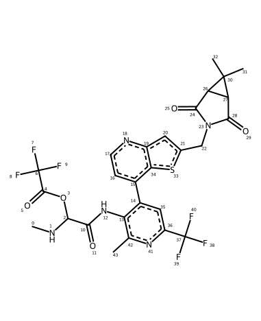 CNC(OC(=O)C(F)(F)F)C(=O)Nc1c(-c2ccnc3cc(CN4C(=O)C5C(C4=O)C5(C)C)sc23)cc(C(F)(F)F)nc1C